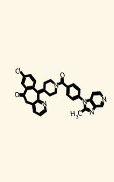 Cc1nc2cnccc2n1-c1ccc(C(=O)N2CCC(=C3c4ccc(Cl)cc4C(=O)Cc4cccnc43)CC2)cc1